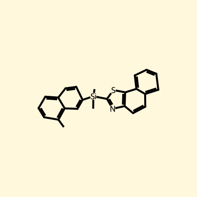 Cc1cccc2ccc([Si](C)(C)c3nc4ccc5ccccc5c4s3)cc12